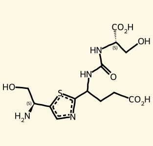 N[C@@H](CO)c1cnc(C(CCC(=O)O)NC(=O)N[C@@H](CO)C(=O)O)s1